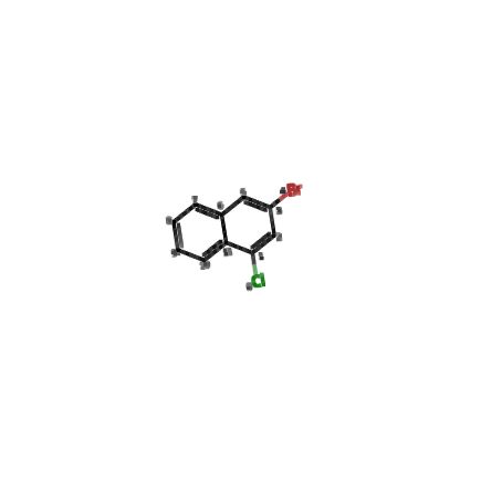 Clc1cc(Br)cc2cc[c]cc12